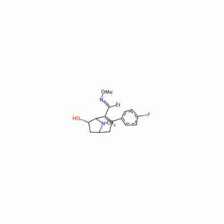 CCC(=NOC)C1=C(c2ccc(F)cc2)CC2CC(O)C1N2C